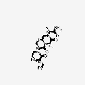 CC(C)C[C@@H]1NCCN([C@@H](CC(C)C)C(=O)N2CCN([C@@H](C)C(N)=O)C(=O)[C@@H]2C)C1=O